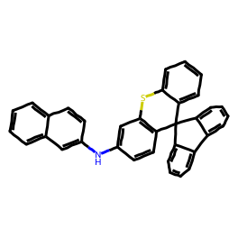 c1ccc2c(c1)Sc1cc(Nc3ccc4ccccc4c3)ccc1C21c2ccccc2-c2ccccc21